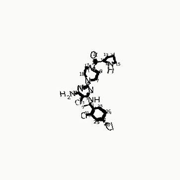 C[C@@H](Nc1nc(N2CCN(C(=O)[C@H]3CCCN3)CC2)nc(N)c1Cl)c1ccc(Cl)cc1Cl